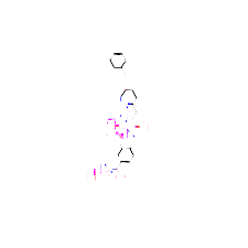 CC(C)(C)OC(=O)NC(Cc1ccc(OCc2ccccc2)cn1)C(=O)NCc1ccc(C(=O)NO)cc1